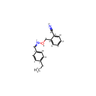 CCc1ccc(/[C]=N\OCc2ccccc2C#N)cc1